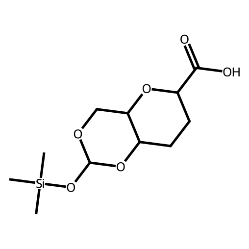 C[Si](C)(C)OC1OCC2OC(C(=O)O)CCC2O1